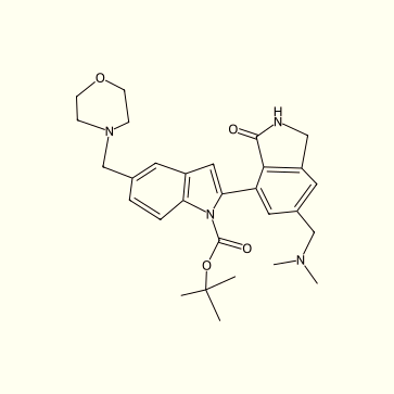 CN(C)Cc1cc2c(c(-c3cc4cc(CN5CCOCC5)ccc4n3C(=O)OC(C)(C)C)c1)C(=O)NC2